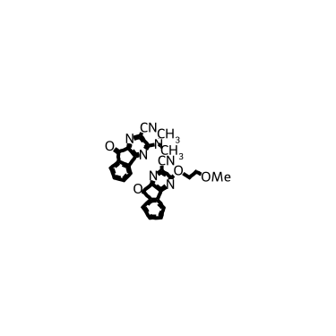 CN(C)c1nc2c(nc1C#N)C(=O)c1ccccc1-2.COCCOc1nc2c(nc1C#N)C(=O)c1ccccc1-2